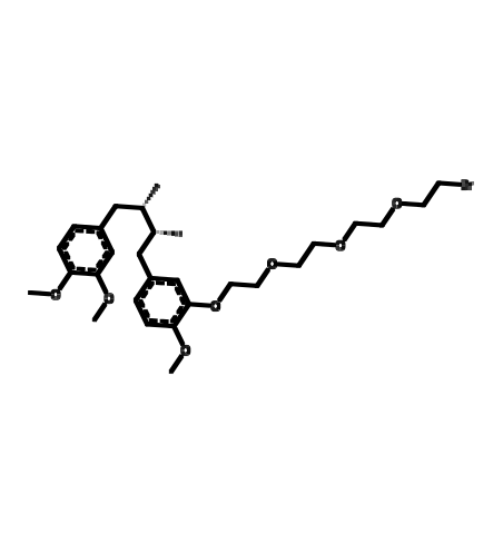 COc1ccc(C[C@H](C)[C@H](C)Cc2ccc(OC)c(OCCOCCOCCOCCBr)c2)cc1OC